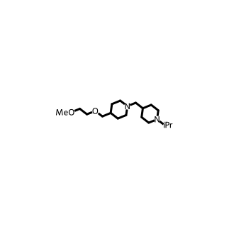 COCCOCC1CCN(CC2CCN(C(C)C)CC2)CC1